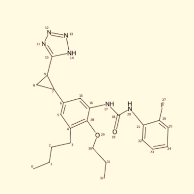 CCCCc1cc(C2CC2c2nnn[nH]2)cc(NC(=O)Nc2ccccc2F)c1OCCC